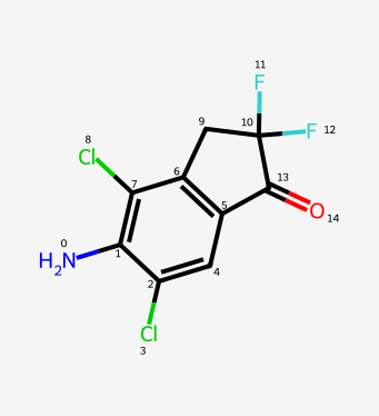 Nc1c(Cl)cc2c(c1Cl)CC(F)(F)C2=O